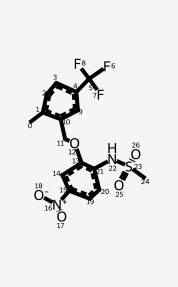 Cc1ccc(C(F)(F)F)cc1COc1cc([N+](=O)[O-])ccc1NS(C)(=O)=O